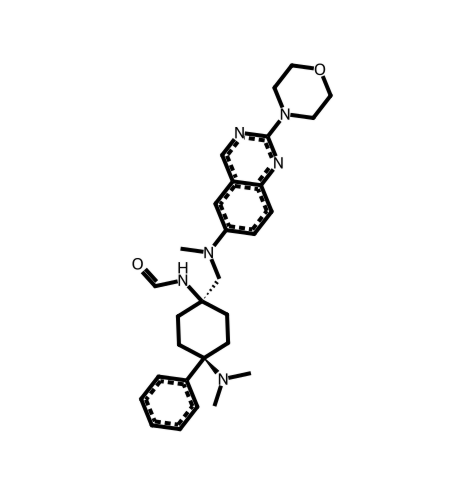 CN(C[C@]1(NC=O)CC[C@@](c2ccccc2)(N(C)C)CC1)c1ccc2nc(N3CCOCC3)ncc2c1